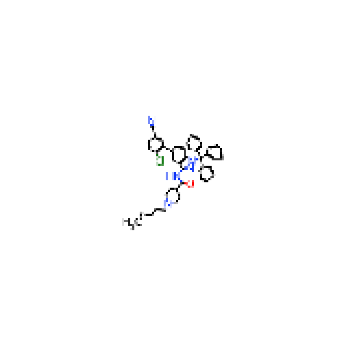 CCCCCN1CCC(C(=O)Nc2nn(C(c3ccccc3)(c3ccccc3)c3ccccc3)c3ccc(-c4cc(C#N)ccc4Cl)cc23)CC1